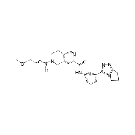 COCCOC(=O)N1CCc2cnc(C(=O)Nc3cccc(-c4nnc5n4CCC5)n3)cc2C1